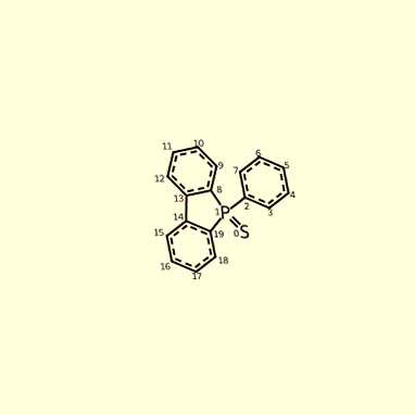 S=P1(c2ccccc2)c2ccccc2-c2ccccc21